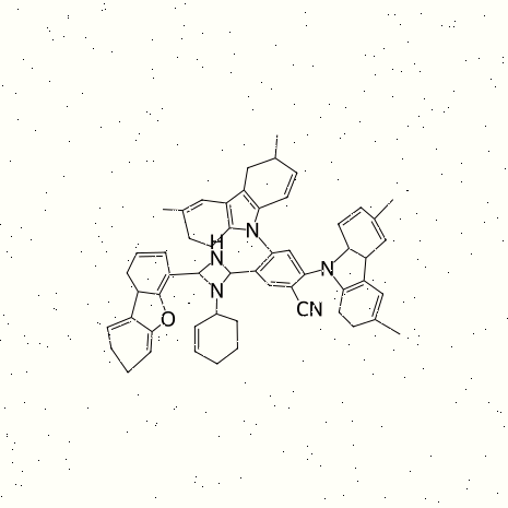 CC1=CC2C3=C(CCC(C)=C3)N(c3cc(-n4c5c(c6c4CCC(C)=C6)CC(C)C=C5)c(C4NC(C5=C6OC7=CCCC=C7C6CC=C5)N4C4C=CCCC4)cc3C#N)C2C=C1